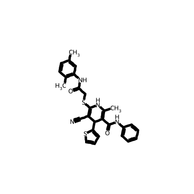 CC1=C(C(=O)Nc2ccccc2)C(c2cccs2)C(C#N)=C(SCC(=O)Nc2cc(C)ccc2C)N1